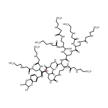 CCC1Oc2ccc(CCNC(=O)C(CNC(=O)C(CNC(=O)CNCCS(=O)(=O)O)NC(=O)C(CNC(=O)C(CNC(=O)CNCCS(=O)(=O)O)NC(=O)CNCCS(=O)(=O)O)NC(O)C(CCNC(=O)CNCCS(=O)(=O)O)NC(=O)CNCCS(=O)(=O)O)NC(=O)C(CNC(=O)CNCCS(=O)(=O)O)NC(=O)C(CNC(=O)CNCCS(=O)(=O)O)NC(=O)CNCCS(=O)(=O)O)cc2OC1CC